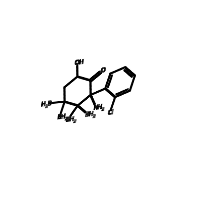 BC1(B)CC(O)C(=O)C(N)(c2ccccc2Cl)C1(B)B